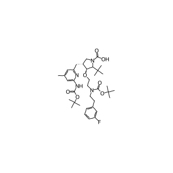 Cc1cc(C[C@@H]2CN(C(=O)O)C(C(C)(C)C)[C@H]2OCCN(CCc2cccc(F)c2)C(=O)OC(C)(C)C)nc(NC(=O)OC(C)(C)C)c1